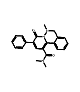 CN(C)C(=O)c1cc(-c2ccccc2)c(=O)n2c1-c1ccccc1CN2C